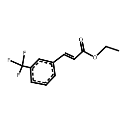 CCOC(=O)C=Cc1cccc(C(F)(F)F)c1